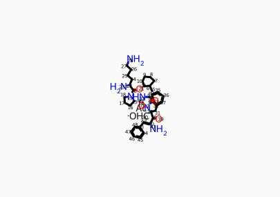 CC(=O)N(C(=O)[C@@H](CC1CCCCC1)NC(=O)[C@@H]1CCCN1C(=O)[C@@H](N)CCCCN)[C@]([C]=O)(Cc1ccccc1)C(=O)/C(N)=C/c1ccccc1